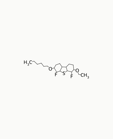 CCCCCCOC1CCC2C3CCC(OCC)C(F)C3SC2C1F